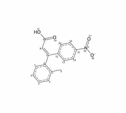 Cc1ccccc1C(=CC(=O)O)c1ccc([N+](=O)[O-])cc1